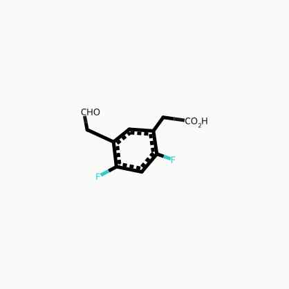 O=CCc1cc(CC(=O)O)c(F)cc1F